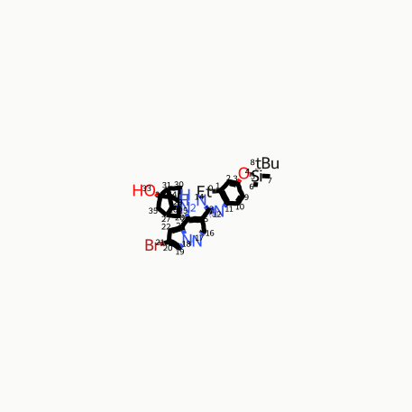 CCc1cc(O[Si](C)(C)C(C)(C)C)ccc1/N=C(\N)c1cnn2cc(Br)cc2c1NC1C2CC3CC1C(O)(C3)C2